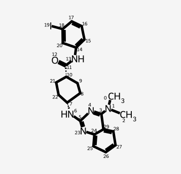 CN(C)c1nc(N[C@H]2CC[C@@H](C(=O)Nc3cccc(I)c3)CC2)nc2ccccc12